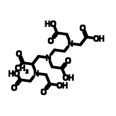 CC(=O)C(CN(CCN(CC(=O)O)CC(=O)O)CC(=O)O)N(CC(=O)O)CC(=O)O